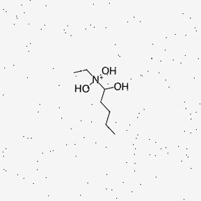 CCCCC(O)[N+](O)(O)CC